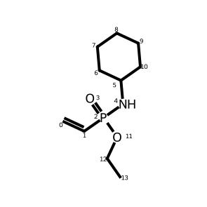 C=CP(=O)(NC1CCCCC1)OCC